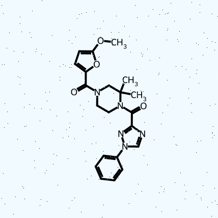 COc1ccc(C(=O)N2CCN(C(=O)c3ncn(-c4ccccc4)n3)C(C)(C)C2)o1